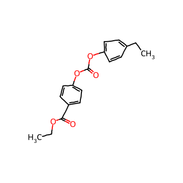 CCOC(=O)c1ccc(OC(=O)Oc2ccc(CC)cc2)cc1